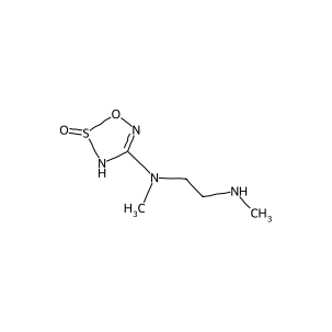 CNCCN(C)C1=NOS(=O)N1